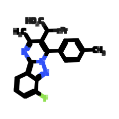 CCCC(C(=O)O)c1c(C)nc2c3cccc(F)c3nn2c1-c1ccc(C)cc1